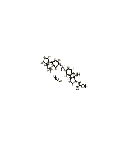 CC#N.O=C(O)CC1CCc2c1[nH]c1ccc(OCc3ccc(C4CCCC4)c(C(F)(F)F)c3)cc21